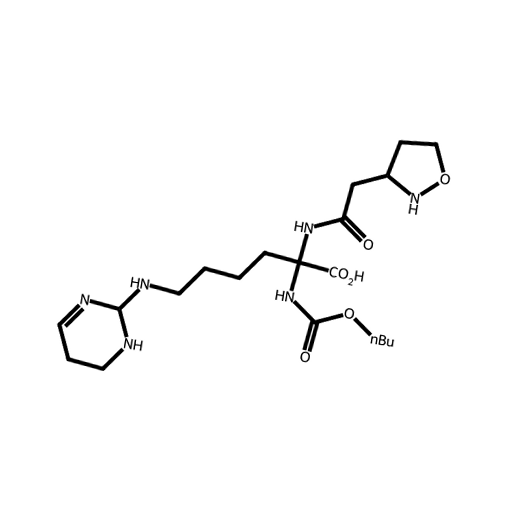 CCCCOC(=O)NC(CCCCNC1N=CCCN1)(NC(=O)CC1CCON1)C(=O)O